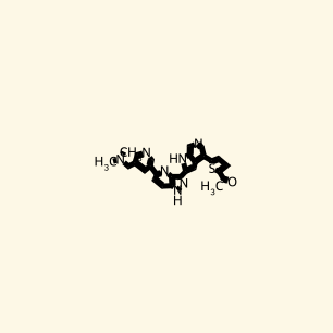 CC(=O)c1ccc(-c2cncc3[nH]c(-c4n[nH]c5ccc(-c6cncc(CN(C)C)c6)nc45)cc23)s1